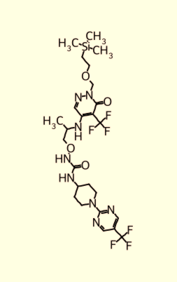 CC(CONC(=O)NC1CCN(c2ncc(C(F)(F)F)cn2)CC1)Nc1cnn(COCC[Si](C)(C)C)c(=O)c1C(F)(F)F